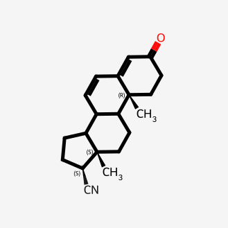 C[C@]12CCC(=O)C=C1C=CC1C2CC[C@@]2(C)C1CC[C@@H]2C#N